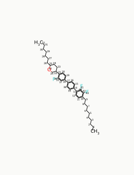 CCCCCCCCCCc1ccc(-c2ccc(-c3ccc(C4CCC(CCCCCCC)OC4)c(F)c3)cc2)c(F)c1F